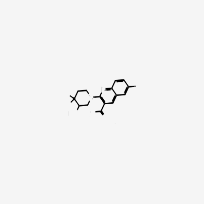 C=C(C)c1cc2cc(F)ccc2nc1N1CCC(F)(F)C(C)C1